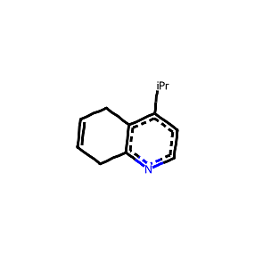 CC(C)c1ccnc2c1CC=CC2